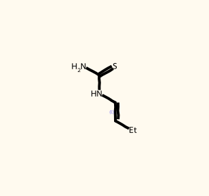 CC/C=C/NC(N)=S